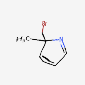 CC1(Br)C=CC=N1